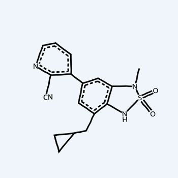 CN1c2cc(-c3cccnc3C#N)cc(CC3CC3)c2NS1(=O)=O